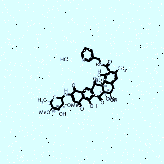 CO[C@@H]1[C@@H](O)[C@@H](OC)C(NC2=CC(=O)c3c(cc4c(c3O)C(=O)[C@]3(OC)[C@H](O)Cc5cc(C)c(C(=O)NCc6cccnc6)c(O)c5[C@]3(O)C4=O)C2=O)O[C@H]1C.Cl